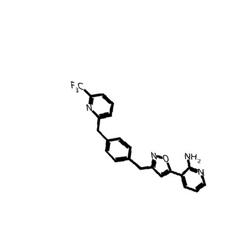 Nc1ncccc1-c1cc(Cc2ccc(Cc3cccc(C(F)(F)F)n3)cc2)no1